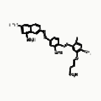 COc1cc(N=Nc2ccc3cc(S(=O)(=O)O)cc(S(=O)(=O)O)c3c2)ccc1N=Nc1cc(OCCCS(=O)(=O)O)c(N)cc1C